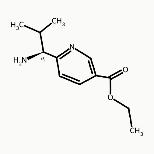 CCOC(=O)c1ccc([C@@H](N)C(C)C)nc1